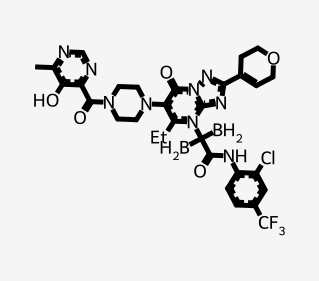 BC(B)(C(=O)Nc1ccc(C(F)(F)F)cc1Cl)n1c(CC)c(N2CCN(C(=O)c3ncnc(C)c3O)CC2)c(=O)n2nc(C3=CCOCC3)nc12